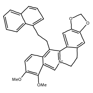 COc1ccc2c(CCc3cccc4ccccc34)c3[n+](cc2c1OC)CCc1cc2c(cc1-3)OCO2